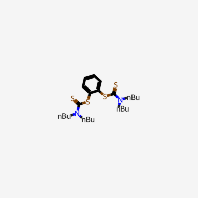 CCCCN(CCCC)C(=S)Sc1ccccc1SC(=S)N(CCCC)CCCC